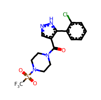 O=C(c1cn[nH]c1-c1ccccc1Cl)N1CCN(S(=O)(=O)C(F)(F)F)CC1